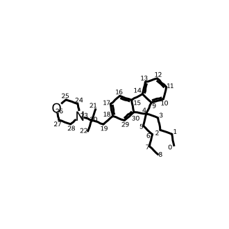 CCCCC1(CCCC)c2ccccc2-c2ccc(CC(C)(C)N3CCOCC3)cc21